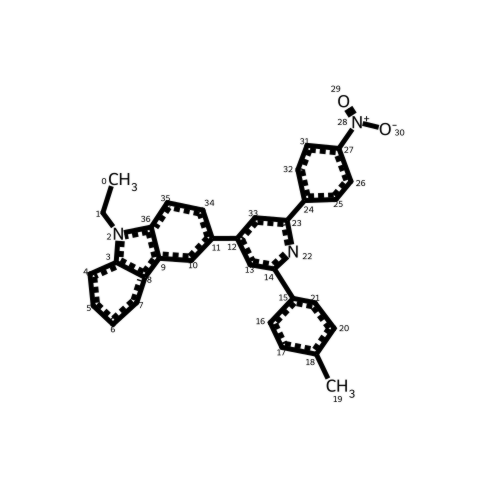 CCn1c2ccccc2c2cc(-c3cc(-c4ccc(C)cc4)nc(-c4ccc([N+](=O)[O-])cc4)c3)ccc21